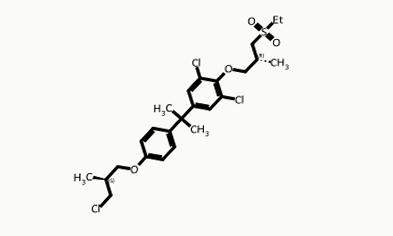 CCS(=O)(=O)C[C@H](C)COc1c(Cl)cc(C(C)(C)c2ccc(OC[C@H](C)CCl)cc2)cc1Cl